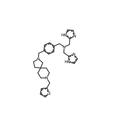 c1csc(CN2CCC3(CC2)CCN(Cc2ccc(CN(Cc4ncc[nH]4)Cc4ncc[nH]4)cc2)C3)c1